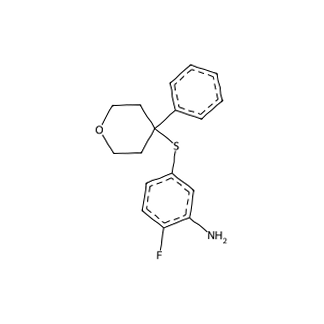 Nc1cc(SC2(c3ccccc3)CCOCC2)ccc1F